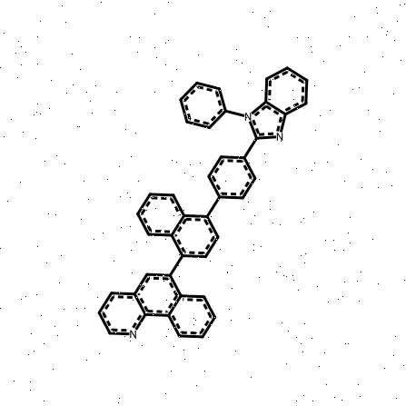 c1ccc(-n2c(-c3ccc(-c4ccc(-c5cc6cccnc6c6ccccc56)c5ccccc45)cc3)nc3ccccc32)cc1